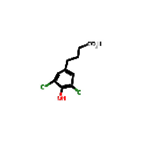 O=C(O)CCCc1cc(Cl)c(O)c(Cl)c1